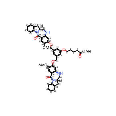 COC(=O)CCCCOc1cc(COc2cc3c(cc2OC)C(=O)N2c4ccccc4C[C@H]2CN3)cc(COc2cc3c(cc2OC)C(=O)N2c4ccccc4C[C@H]2CN3)c1